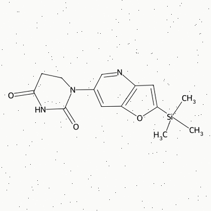 C[Si](C)(C)c1cc2ncc(N3CCC(=O)NC3=O)cc2o1